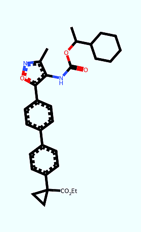 CCOC(=O)C1(c2ccc(-c3ccc(-c4onc(C)c4NC(=O)OC(C)C4CCCCC4)cc3)cc2)CC1